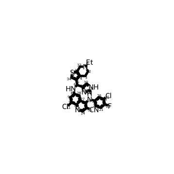 CCN1CCc2c(C(Nc3cc(Cl)c4ncc(C#N)c(Nc5ccc(F)c(Cl)c5)c4c3)c3c[nH]nn3)csc2C1